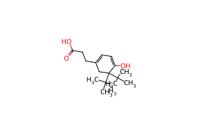 CC(C)(C)C1(C(C)(C)C)CC(CCC(=O)O)=CC=C1O